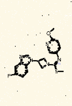 COc1ccc(/N=C(/SC)N2CC(n3cnc4cc(F)ccc43)C2)cn1